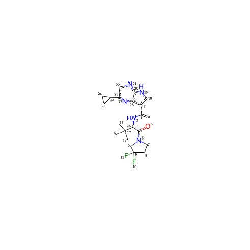 C=C(N[C@@H](C(=O)N1CCC(F)(F)C1)C(C)(C)C)c1c[nH]c2ncc(C3CC3)nc12